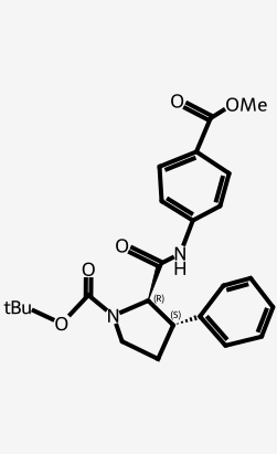 COC(=O)c1ccc(NC(=O)[C@H]2[C@H](c3ccccc3)CCN2C(=O)OC(C)(C)C)cc1